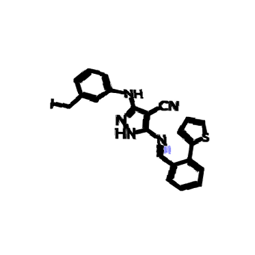 N#Cc1c(Nc2cccc(CI)c2)n[nH]c1/N=C/c1ccccc1-c1cccs1